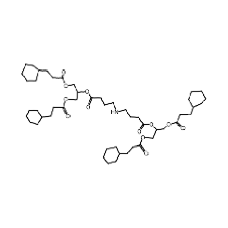 O=C(CCC1CCCCC1)OCC(COC(=O)CCC1CCCCC1)OC(=O)CCCNCCCC(=O)OC(COC(=O)CCC1CCCCC1)COC(=O)CCC1CCCCC1